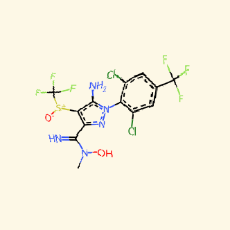 CN(O)C(=N)c1nn(-c2c(Cl)cc(C(F)(F)F)cc2Cl)c(N)c1[S+]([O-])C(F)(F)F